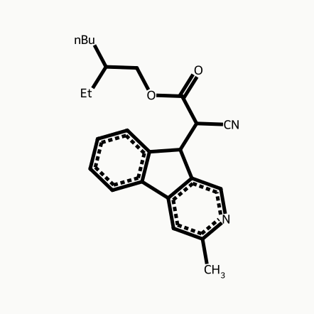 CCCCC(CC)COC(=O)C(C#N)C1c2ccccc2-c2cc(C)ncc21